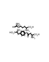 N=C(N)NCCCC(N)C(=O)O.NC(=O)CC(N)C(=O)O.NC(Cc1ccccc1)C(=O)O